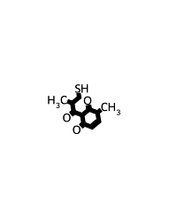 CC1C=CC(=O)C(C(=O)C(C)CS)C1=O